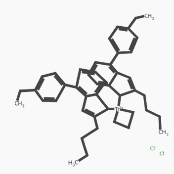 CCCCC1=Cc2c(-c3ccc(CC)cc3)cccc2[CH]1[Ti+2]1([CH]2C(CCCC)=Cc3c(-c4ccc(CC)cc4)cccc32)[CH2]C[CH2]1.[Cl-].[Cl-]